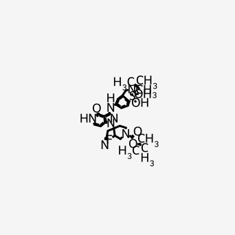 CC(C)(C)OC(=O)N1CCC(CC#N)(n2nc(Nc3ccc4c(c3)CN(C(C)(C)C)S4(O)O)c3c(=O)[nH]ccc32)C(F)C1